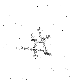 CCC(=O)NCc1cc(OCc2cc(OCCOCCOCCOC)c(OC(=O)CCC(C)=O)c(OCCOCCOCCOC)c2)cc(OCc2cc(OCCOCCOCCOC)c(OC(=O)CCC(C)=O)c(OCCOCCOCCOC)c2)c1